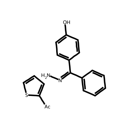 CC(=O)c1cccs1.NN=C(c1ccccc1)c1ccc(O)cc1